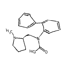 CN1CCC[C@@H]1CN(C(=O)O)c1ccccc1-c1ccccc1